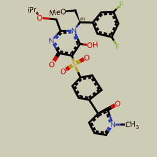 COC[C@@H](c1cc(F)cc(F)c1)n1c(COC(C)C)nc(=O)c(S(=O)(=O)c2ccc(-c3cccn(C)c3=O)cc2)c1O